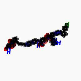 CC1(C)CCC(CN2CCN(c3ccc(C(=O)NS(=O)(=O)c4ccc(NCC5CCN(C6CCN(CCCCCC#Cc7cccc8c7C(=O)N(C7CCC(=O)NC7=O)C8=O)CC6)CC5)c([N+](=O)[O-])c4)c(Oc4cnc5[nH]ccc5c4)c3)CC2)=C(c2ccc(Cl)cc2)C1